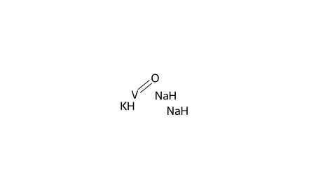 [KH].[NaH].[NaH].[O]=[V]